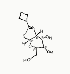 OC[C@H]1O[C@@H]2SC(N3CCC3)=N[C@@H]2[C@H](O)[C@H]1O